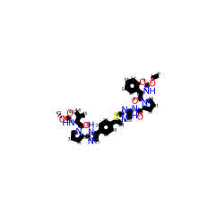 CCOC(=O)N[C@H](C(=O)N1CCC[C@H]1C(=O)Nc1cn2cc(-c3ccc(-c4cnc([C@@H]5CCCN5C(=O)[C@H](NC(=O)OC)C(C)C)[nH]4)cc3)sc2n1)c1ccccc1